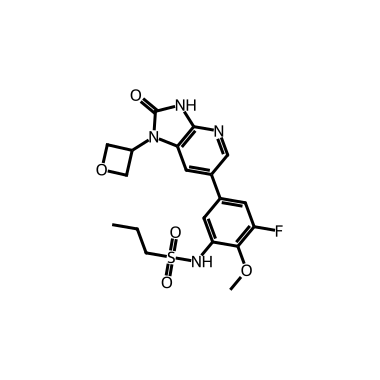 CCCS(=O)(=O)Nc1cc(-c2cnc3[nH]c(=O)n(C4COC4)c3c2)cc(F)c1OC